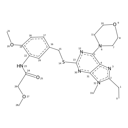 CCc1nc2c(N3CCOCC3)nc(SCc3ccc(OC)c(NC(=O)COC)c3)nc2n1C